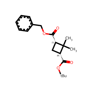 CC(C)(C)OC(=O)[C@@H]1C[C@H](C(=O)OCc2ccccc2)C1(C)C